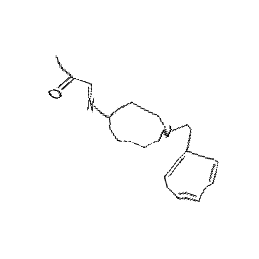 CC(=O)C=NC1CCN(Cc2ccccc2)CC1